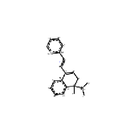 CN(C)C1(C)CC=C(/C=C/c2ccccn2)c2ccccc21